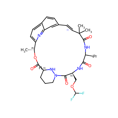 CC(C)C1NC(=O)C(C)(C)/C=C/c2ccc3ccc(nc3c2)[C@@H](C)OC(=O)[C@@H]2CCCN(N2)C(=O)[C@H](COC(F)F)NC1=O